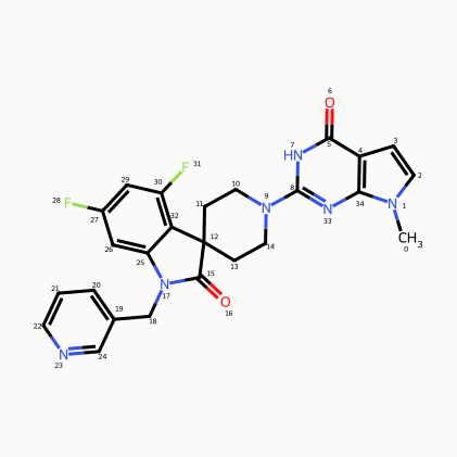 Cn1ccc2c(=O)[nH]c(N3CCC4(CC3)C(=O)N(Cc3cccnc3)c3cc(F)cc(F)c34)nc21